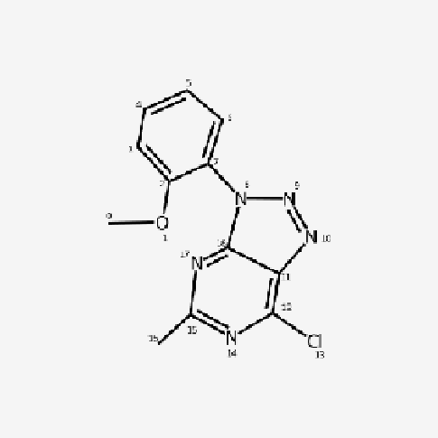 COc1ccccc1-n1nnc2c(Cl)nc(C)nc21